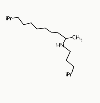 CC(C)CCCCCCCC(C)NCCCC(C)C